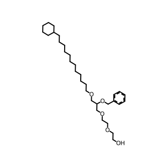 OCCOCCOCC(COCCCCCCCCCCCCC1CCCCC1)OCc1ccccc1